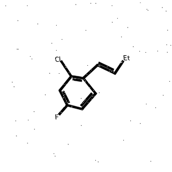 CC/C=C/c1ccc(F)cc1Cl